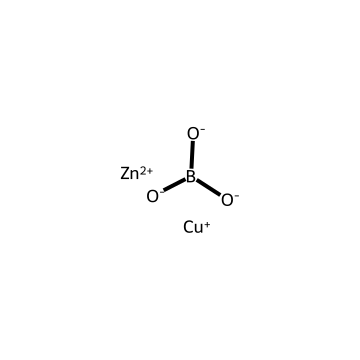 [Cu+].[O-]B([O-])[O-].[Zn+2]